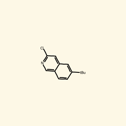 CC(C)(C)c1ccc2cnc(Cl)cc2c1